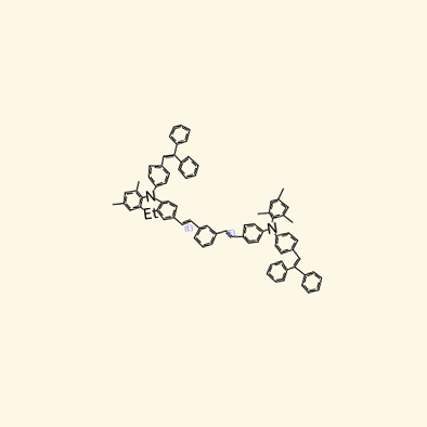 CCc1cc(C)cc(C)c1N(c1ccc(C=C(c2ccccc2)c2ccccc2)cc1)c1ccc(/C=C/c2cccc(/C=C/c3ccc(N(c4ccc(C=C(c5ccccc5)c5ccccc5)cc4)c4c(C)cc(C)cc4C)cc3)c2)cc1